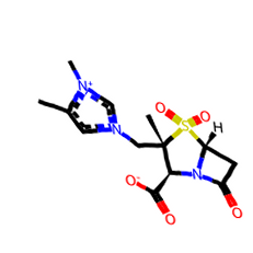 Cc1cn(C[C@@]2(C)[C@H](C(=O)[O-])N3C(=O)C[C@H]3S2(=O)=O)c[n+]1C